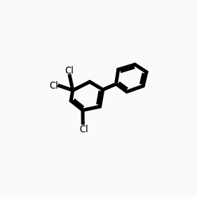 ClC1=CC(Cl)(Cl)CC(c2ccccc2)=C1